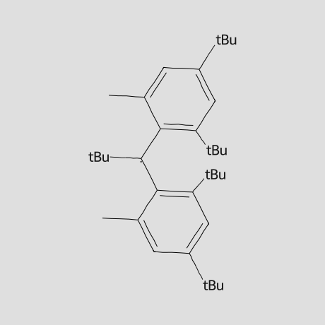 [CH2]C([CH2])([CH2])[C](c1c(C)cc(C(C)(C)C)cc1C(C)(C)C)c1c(C)cc(C(C)(C)C)cc1C(C)(C)C